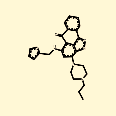 CCCN1CCN(c2cc(NCc3ccco3)c3c4c(onc24)-c2ccccc2C3=O)CC1